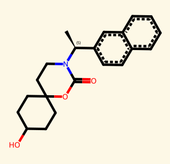 C[C@@H](c1ccc2ccccc2c1)N1CCC2(CCC(O)CC2)OC1=O